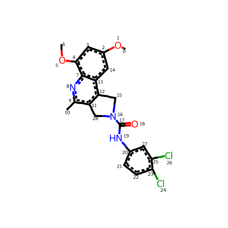 COc1cc(OC)c2nc(C)c3c(c2c1)CN(C(=O)Nc1ccc(Cl)c(Cl)c1)C3